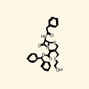 O=C(Cc1ccccc1)NC1C(=O)N2C(C(=O)OC(c3ccccc3)c3ccccc3)=C(CSCCO)CSC12